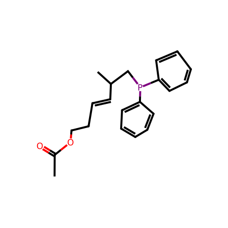 CC(=O)OCCC=CC(C)CP(c1ccccc1)c1ccccc1